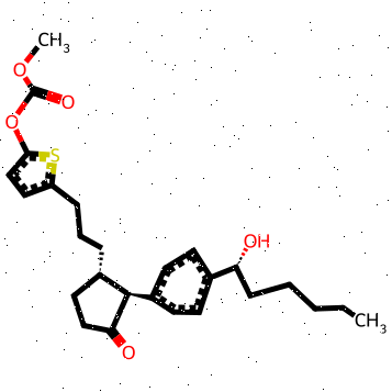 CCCCC[C@@H](O)c1ccc([C@H]2C(=O)CC[C@@H]2CCCc2ccc(OC(=O)OC)s2)cc1